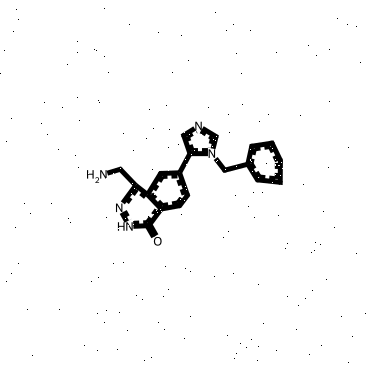 NCc1n[nH]c(=O)c2ccc(-c3cncn3Cc3ccccc3)cc12